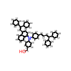 OCc1ccc(N(c2ccc(/C=C/C=C(c3ccccc3)c3ccccc3)cc2)c2ccc(C=C(c3ccccc3)c3ccccc3)c3ccccc23)cc1